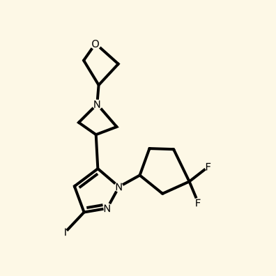 FC1(F)CCC(n2nc(I)cc2C2CN(C3COC3)C2)C1